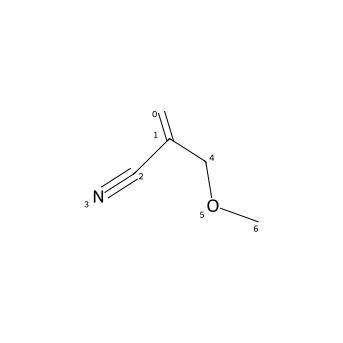 C=C(C#N)COC